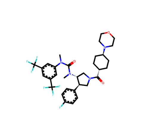 CN(C(=O)N(C)[C@@H]1CN(C(=O)[C@H]2CC[C@H](N3CCOCC3)CC2)C[C@H]1c1ccc(F)cc1)c1cc(C(F)(F)F)cc(C(F)(F)F)c1